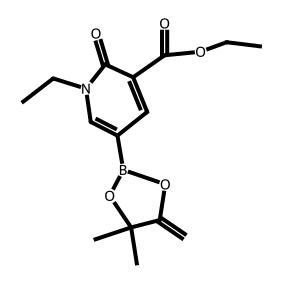 C=C1OB(c2cc(C(=O)OCC)c(=O)n(CC)c2)OC1(C)C